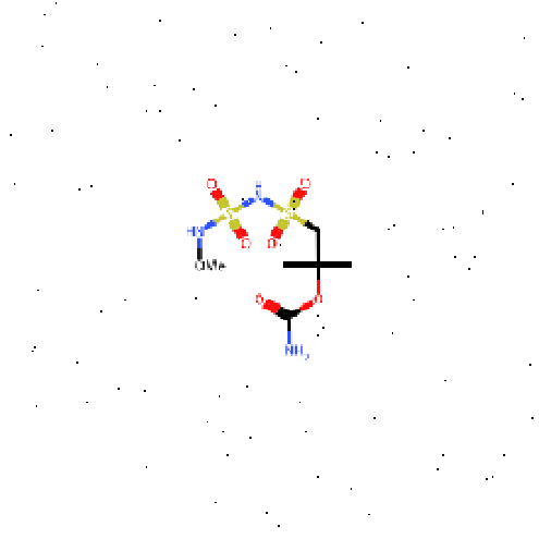 CONS(=O)(=O)NS(=O)(=O)CC(C)(C)OC(N)=O